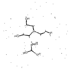 CCCCCC(O)O.OCCN(CCO)CCO